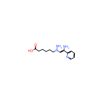 N/C(=C\N(N)CCCCCC(=O)O)c1ccccn1